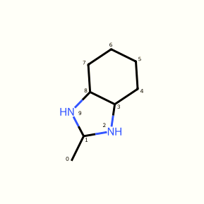 CC1NC2CCCCC2N1